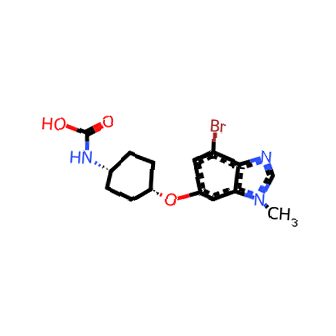 Cn1cnc2c(Br)cc(O[C@H]3CC[C@@H](NC(=O)O)CC3)cc21